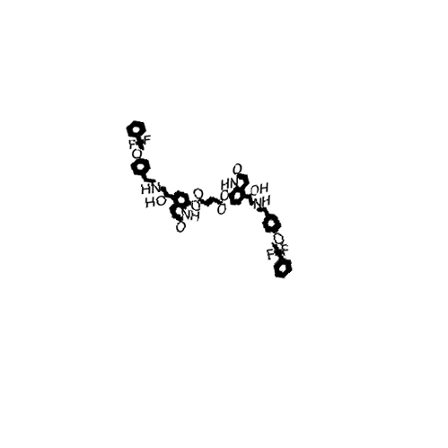 O=C(/C=C/C(=O)Oc1ccc([C@@H](O)CNCCc2ccc(OCC(F)(F)c3ccccc3)cc2)c2ccc(=O)[nH]c12)Oc1ccc([C@@H](O)CNCCc2ccc(OCC(F)(F)c3ccccc3)cc2)c2ccc(=O)[nH]c12